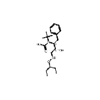 CCC(CC)ONC[C@@H](O)[C@H](Cc1ccccc1)N(C(=O)O)C(C)(C)C